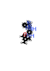 CC(C)c1cc(C(C)C)c(C(=O)N[C@H]2CC[C@@H](Nc3nc(N(C)C)c4ccccc4n3)CC2)c(C(C)C)c1